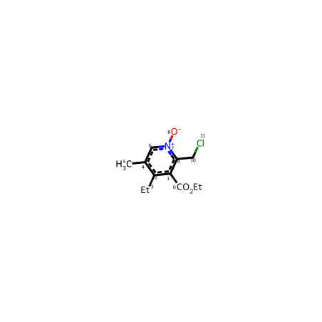 CCOC(=O)c1c(CC)c(C)c[n+]([O-])c1CCl